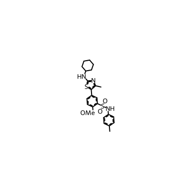 COc1ccc(-c2sc(NC3CCCCC3)nc2C)cc1S(=O)(=O)Nc1ccc(C)cc1